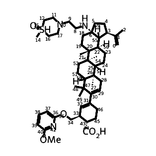 C=C(C)[C@@H]1CC[C@]2(NCCN3CC[SH](C)(=O)CC3)CC[C@]3(C)[C@H](CC[C@@H]4[C@@]5(C)CC=C(C6=C[C@H](COc7cccc(OC)n7)[C@@H](C(=O)O)CC6)C(C)(C)[C@@H]5CC[C@]43C)[C@@H]12